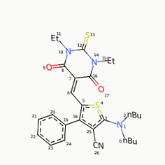 CCCCN(CCCC)c1sc(C=C2C(=O)N(CC)C(=S)N(CC)C2=O)c(-c2ccccc2)c1C#N